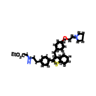 CCOC(=O)CNCCc1ccc(-c2sc3ccccc3c2Cc2ccc(OCCN3CCCC3)cc2)cc1